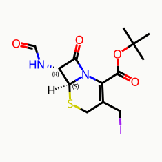 CC(C)(C)OC(=O)C1=C(CI)CS[C@H]2[C@H](NC=O)C(=O)N12